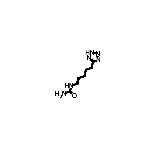 NC(=O)NCCCCCc1nn[nH]n1